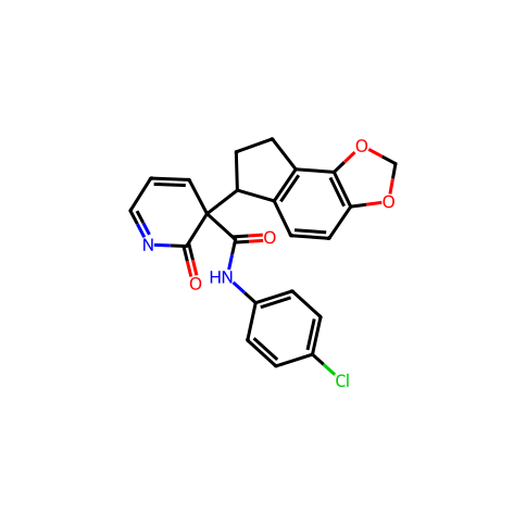 O=C1N=CC=CC1(C(=O)Nc1ccc(Cl)cc1)C1CCc2c1ccc1c2OCO1